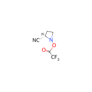 N#C[C@@H]1CCN1OC(=O)C(F)(F)F